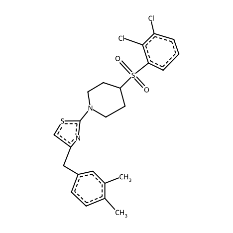 Cc1ccc(Cc2csc(N3CCC(S(=O)(=O)c4cccc(Cl)c4Cl)CC3)n2)cc1C